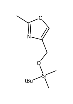 Cc1nc(CO[Si](C)(C)C(C)(C)C)co1